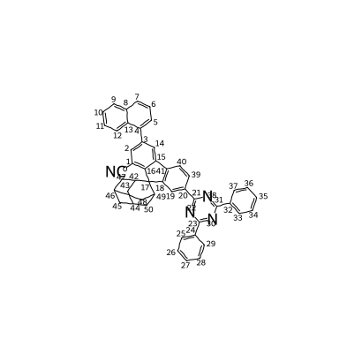 N#Cc1cc(-c2cccc3ccccc23)cc2c1C1(c3cc(-c4nc(-c5ccccc5)nc(-c5ccccc5)n4)ccc3-2)C2CC3CC(C2)CC1C3